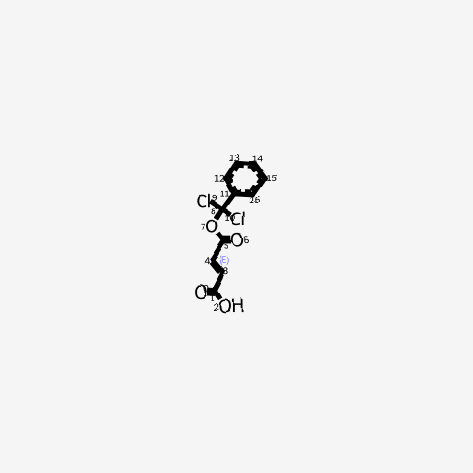 O=C(O)/C=C/C(=O)OC(Cl)(Cl)c1ccccc1